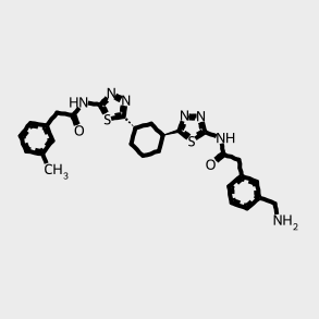 Cc1cccc(CC(=O)Nc2nnc([C@H]3CCC[C@H](c4nnc(NC(=O)Cc5cccc(CN)c5)s4)C3)s2)c1